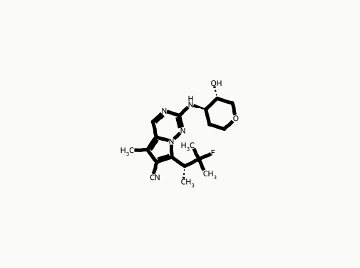 Cc1c(C#N)c([C@@H](C)C(C)(C)F)n2nc(N[C@@H]3CCOC[C@H]3O)ncc12